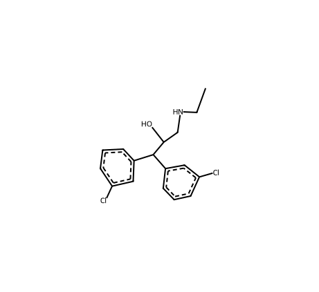 CCNCC(O)C(c1cccc(Cl)c1)c1cccc(Cl)c1